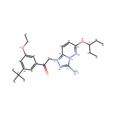 CCOc1cc(C(=O)C[n+]2nc(N)n3nc(OC(CC)CC)ccc32)cc(C(C)(C)C)c1